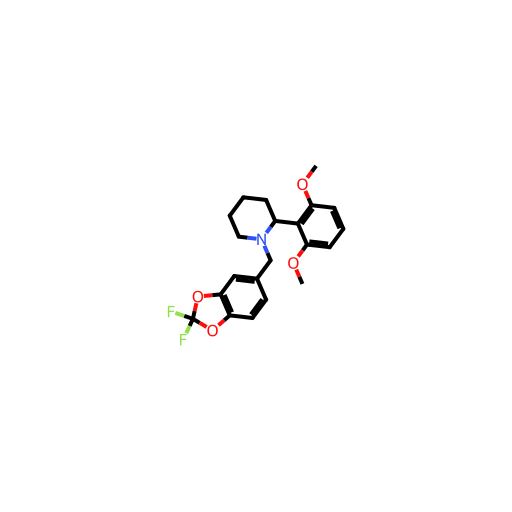 COc1cccc(OC)c1C1CCCCN1Cc1ccc2c(c1)OC(F)(F)O2